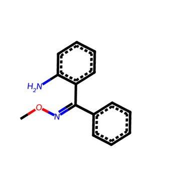 CON=C(c1ccccc1)c1ccccc1N